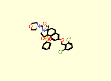 O=C(N1CCOCC1)N1CC[C@@]2(S(=O)(=O)c3ccccc3)c3ccc(OCc4c(Cl)cccc4Cl)cc3CC[C@@H]12